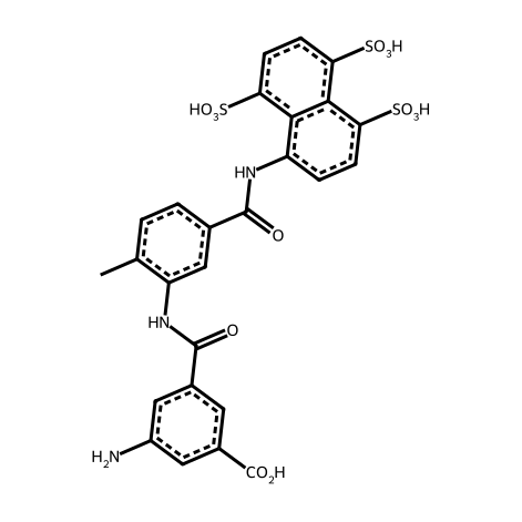 Cc1ccc(C(=O)Nc2ccc(S(=O)(=O)O)c3c(S(=O)(=O)O)ccc(S(=O)(=O)O)c23)cc1NC(=O)c1cc(N)cc(C(=O)O)c1